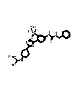 CC(C)OC(O)NC1CCC(c2ncc(-c3ccc(NC(=O)NCc4ccccc4)cc3S(=O)(=O)NC(C)(C)C)s2)CC1